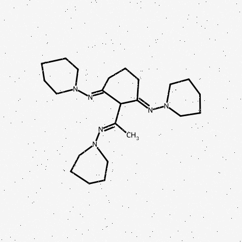 CC(=NN1CCCCC1)C1C(=NN2CCCCC2)CCCC1=NN1CCCCC1